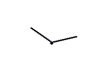 CCCCCCCCCCCCCCCCCCCCCCCCC/C=C/C1=C(/C=C/CCCCCCCCCCCCCCCCCCCCCCCCC)[N]C=C1